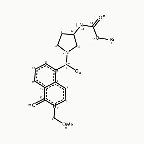 COCn1ccc2c([S+]([O-])N3CCC(NC(=O)OC(C)(C)C)C3)cccc2c1=O